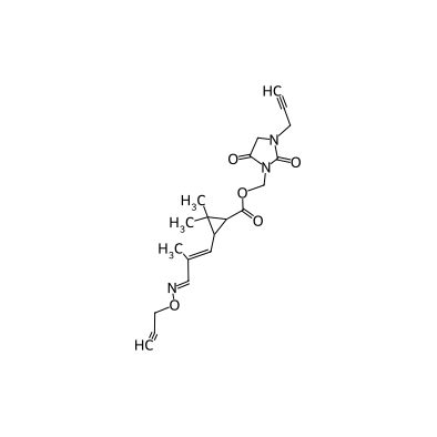 C#CCO/N=C/C(C)=C/C1C(C(=O)OCN2C(=O)CN(CC#C)C2=O)C1(C)C